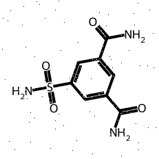 NC(=O)c1cc(C(N)=O)cc(S(N)(=O)=O)c1